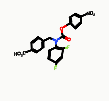 O=C(O)c1ccc(CN(C(=O)Oc2ccc([N+](=O)[O-])cc2)c2ccc(F)cc2F)cc1